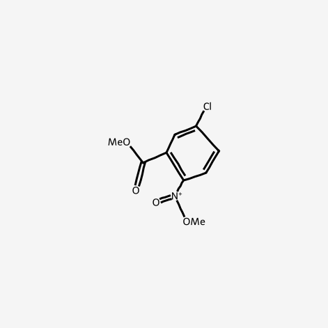 COC(=O)c1cc(Cl)ccc1[N+](=O)OC